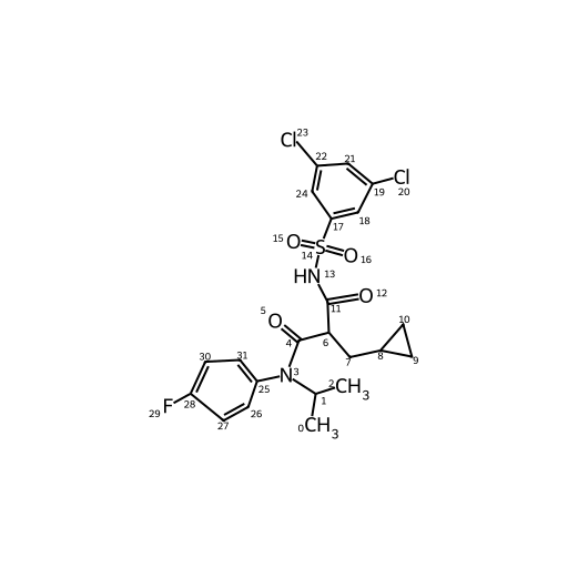 CC(C)N(C(=O)C(CC1CC1)C(=O)NS(=O)(=O)c1cc(Cl)cc(Cl)c1)c1ccc(F)cc1